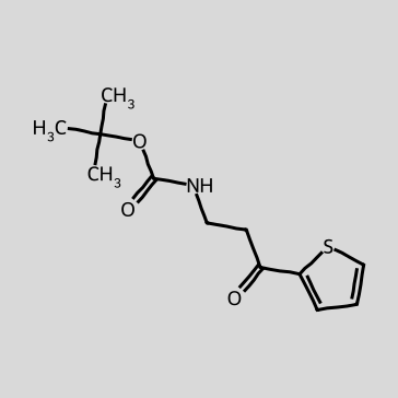 CC(C)(C)OC(=O)NCCC(=O)c1cccs1